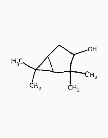 CC1(C)C(O)CC2C1C2(C)C